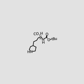 CC(C)(C)OC(=O)N[C@H](CCCC1CCNCC1)C(=O)O